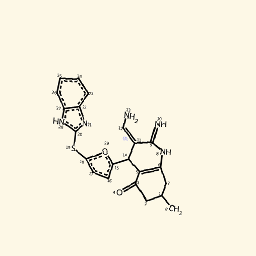 CC1CC(=O)C2=C(C1)NC(=N)/C(=C\N)C2c1ccc(Sc2nc3ccccc3[nH]2)o1